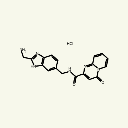 Cl.NCc1nc2ccc(CNC(=O)c3cc(=O)n4ccccc4n3)cc2[nH]1